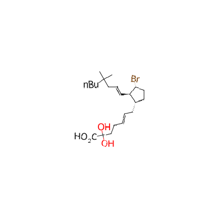 CCCCC(C)(C)CC=C[C@@H]1[C@@H](CC=CCCC(O)(O)C(=O)O)CC[C@H]1Br